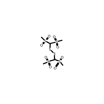 CS(=O)(=O)C(SSC(S(C)(=O)=O)S(C)(=O)=O)S(C)(=O)=O